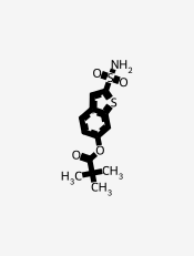 CC(C)(C)C(=O)Oc1ccc2cc(S(N)(=O)=O)sc2c1